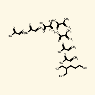 C=C(C)C(=O)O.C=C(C)C(=O)O.C=C(C)C(=O)O.C=CC(=O)O.C=CC(=O)O.C=CC(=O)O.C=CC(=O)O.OCCCC(CO)CO